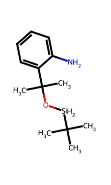 CC(C)(C)[SiH2]OC(C)(C)c1ccccc1N